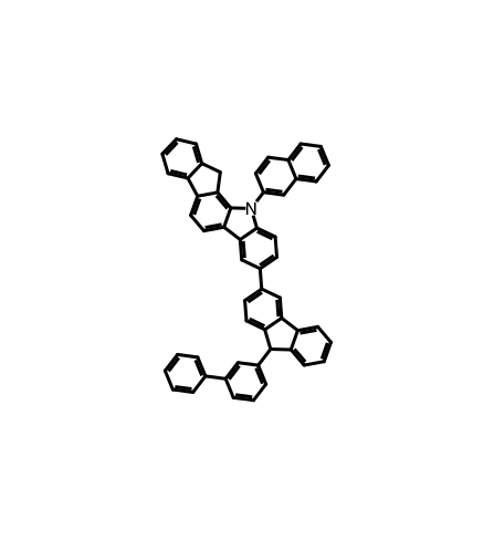 c1ccc(-c2cccc(C3c4ccccc4-c4cc(-c5ccc6c(c5)c5ccc7c(c5n6-c5ccc6ccccc6c5)Cc5ccccc5-7)ccc43)c2)cc1